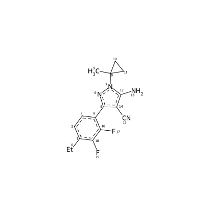 CCc1ccc(-c2nn(C3(C)CC3)c(N)c2C#N)c(F)c1F